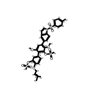 COc1cc(-c2ccc3c(ccn3S(=O)(=O)c3ccc(C)cc3)c2)c(OC)c(OS(C)(=O)=O)c1-c1ccc(OCC=C(C)C)c(OS(C)(=O)=O)c1